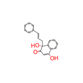 O=C1C=C(O)c2ccccc2C1(O)CC=Cc1ccccc1